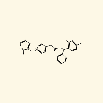 Cc1cc(Cl)ccc1C(NC(=O)Cc1ccc(Oc2cccnc2C)cc1)c1ccccc1